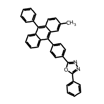 Cc1ccc2c(-c3ccccc3)c3ccccc3c(-c3ccc(-c4nnc(-c5ccccc5)o4)cc3)c2c1